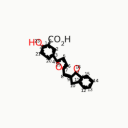 O=C(O)c1cc(-c2ccc(C=C3Cc4ccccc4C3=O)o2)ccc1O